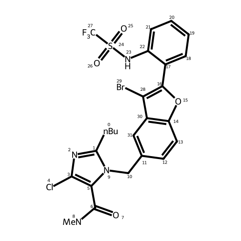 CCCCc1nc(Cl)c(C(=O)NC)n1Cc1ccc2oc(-c3ccccc3NS(=O)(=O)C(F)(F)F)c(Br)c2c1